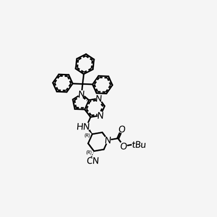 CC(C)(C)OC(=O)N1C[C@H](C#N)C[C@@H](Nc2ncnc3c2ccn3C(c2ccccc2)(c2ccccc2)c2ccccc2)C1